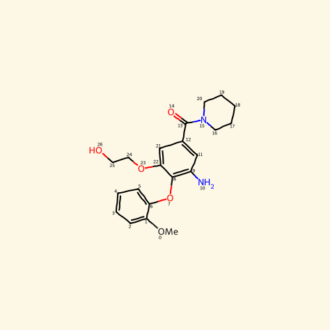 COc1ccccc1Oc1c(N)cc(C(=O)N2CCCCC2)cc1OCCO